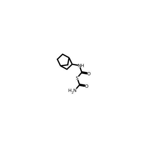 NC(=O)SC(=O)NC1CC2CCC1C2